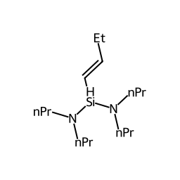 CCC=C[SiH](N(CCC)CCC)N(CCC)CCC